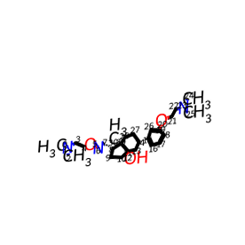 CN(C)CCO/N=C/[C@H]1CC[C@]2(O)C[C@@H](c3cccc(OCCN(C)C)c3)CC[C@]12C